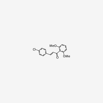 COc1cccc(OC)c1C(=O)C=Cc1ccc(Cl)cc1